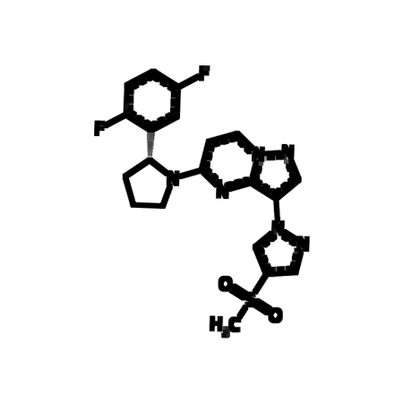 CS(=O)(=O)c1cnn(-c2cnn3ccc(N4CCC[C@@H]4c4cc(F)ccc4F)nc23)c1